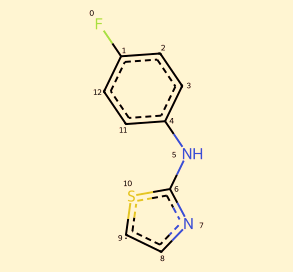 Fc1ccc(Nc2nc[c]s2)cc1